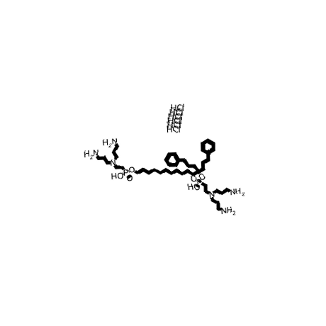 Cl.Cl.Cl.Cl.Cl.Cl.NCCCN(CCCN)CCP(=O)(O)OCCCCCCCCCCCC(CCCc1ccccc1)(CCCc1ccccc1)OP(=O)(O)CCN(CCCN)CCCN